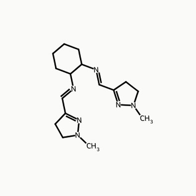 CN1CCC(/C=N/C2CCCCC2/N=C/C2=NN(C)CC2)=N1